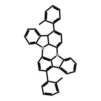 Cc1ccccc1C1=CC=C2C3C1c1ccccc1N3c1ccc(-c3ccccc3C)c3c4ccccc4n2c13